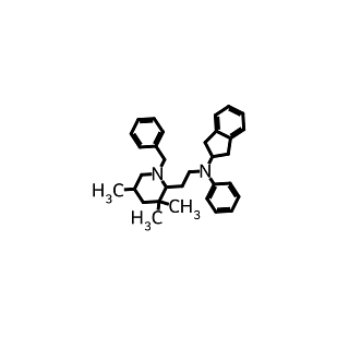 CC1CN(Cc2ccccc2)C(CCN(c2ccccc2)C2Cc3ccccc3C2)C(C)(C)C1